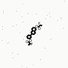 C=C(F)C(=O)Oc1cccc(-c2ccc3cc(OC(=O)C(=C)F)ccc3c2)c1